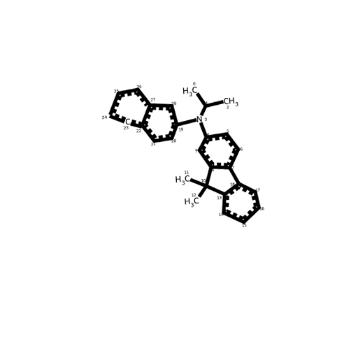 CC(C)N(c1ccc2c(c1)C(C)(C)c1ccccc1-2)c1ccc2ccccc2c1